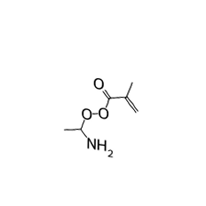 C=C(C)C(=O)OOC(C)N